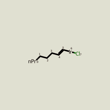 CCCCCCC=[CH][Ir][Cl]